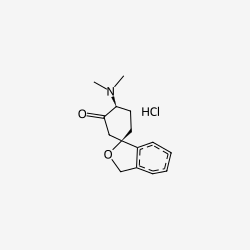 CN(C)[C@H]1CC[C@]2(CC1=O)OCc1ccccc12.Cl